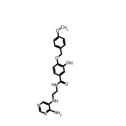 COc1ccc(COc2ccc(C(=O)NCCNc3cncnc3N)cc2O)cc1